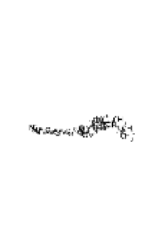 CC(C)CCC[C@@H](C)[C@H]1CC[C@H]2[C@@H]3CC=C4CC(OC(=O)NCCOCCOCCOCCN=[N+]=[N-])CC[C@]4(C)[C@H]3CC[C@]12C